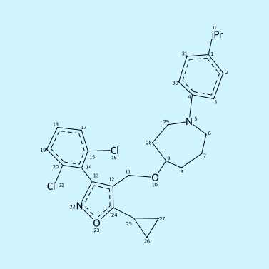 CC(C)c1ccc(N2CCCC(OCc3c(-c4c(Cl)cccc4Cl)noc3C3CC3)CC2)cc1